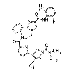 Cc1cccc(F)c1NC(=O)c1cc2c(s1)-c1ccccc1N(C(=O)c1cccc(-c3cn(C(=O)N(C)C)nc3C3CC3)n1)CC2